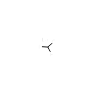 FC(F)F.[La]